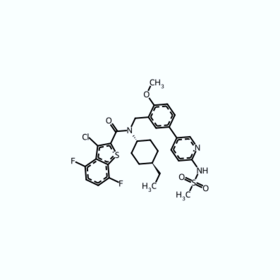 CC[C@H]1CC[C@H](N(Cc2cc(-c3ccc(NS(C)(=O)=O)nc3)ccc2OC)C(=O)c2sc3c(F)ccc(F)c3c2Cl)CC1